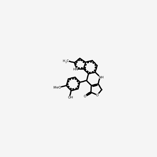 COc1ccc(C2C3=C(COC3=O)Nc3ccc4cc(C)[nH]c4c32)cc1O